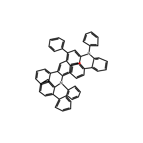 c1ccc(-c2ccccc2N(c2ccccc2)c2cc(-c3ccccc3)c3cc(-c4ccccc4)c(N(c4ccccc4)c4ccccc4-c4ccccc4)cc3c2)cc1